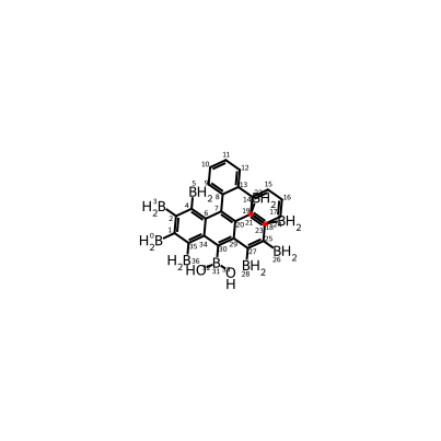 Bc1c(B)c(B)c2c(-c3ccccc3-c3ccccc3)c3c(B)c(B)c(B)c(B)c3c(B(O)O)c2c1B